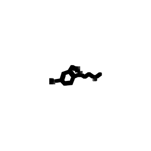 CSCCn1ncc2cc(Br)ccc21